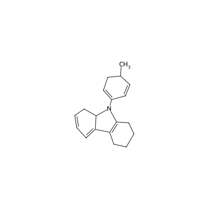 CC1C=CC(N2C3=C(CCCC3)C3=CC=CCC32)=CC1